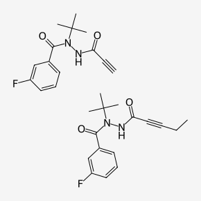 C#CC(=O)NN(C(=O)c1cccc(F)c1)C(C)(C)C.CCC#CC(=O)NN(C(=O)c1cccc(F)c1)C(C)(C)C